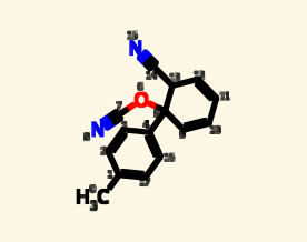 Cc1ccc(C2(OC#N)C=CC=CC2C#N)cc1